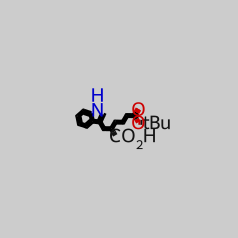 CC(C)(C)OC(=O)CCCC(Cc1c[nH]c2ccccc12)C(=O)O